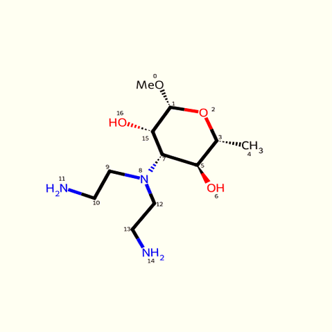 CO[C@@H]1O[C@H](C)[C@@H](O)[C@H](N(CCN)CCN)[C@@H]1O